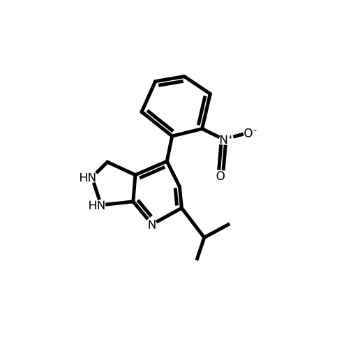 CC(C)c1cc(-c2ccccc2[N+](=O)[O-])c2c(n1)NNC2